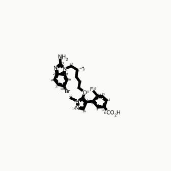 C[C@H](CCCOc1c(-c2cc(C(=O)O)ccc2F)cnn1C)Cn1c(N)nc2ccc(Br)cc21